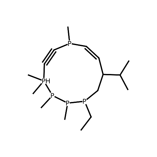 CCP1CC(C(C)C)C=CP(C)C#C[PH](C)(C)P(C)P1C